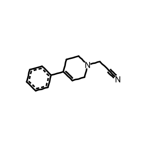 N#CCN1CC=C(c2ccccc2)CC1